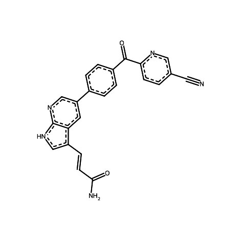 N#Cc1ccc(C(=O)c2ccc(-c3cnc4[nH]cc(C=CC(N)=O)c4c3)cc2)nc1